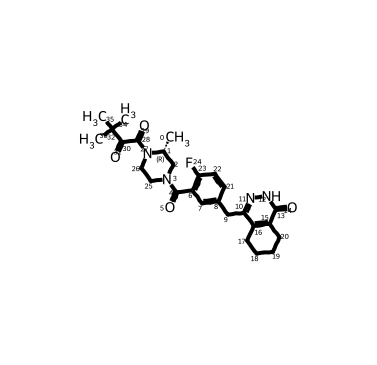 C[C@@H]1CN(C(=O)c2cc(Cc3n[nH]c(=O)c4c3CCCC4)ccc2F)CCN1C(=O)C(=O)C(C)(C)C